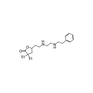 CCC1(CC)CC(CCNCCNCCc2ccccc2)OC1=O